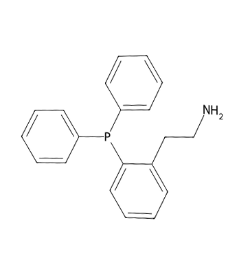 NCCc1ccccc1P(c1ccccc1)c1ccccc1